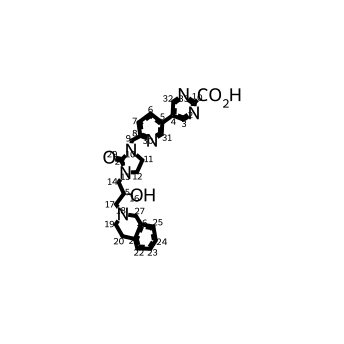 O=C(O)c1ncc(-c2ccc(CN3CCN(C[C@H](O)CN4CCc5ccccc5C4)C3=O)nc2)cn1